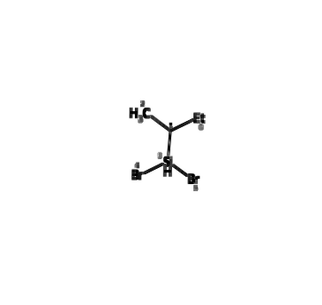 CCC(C)[SiH](Br)Br